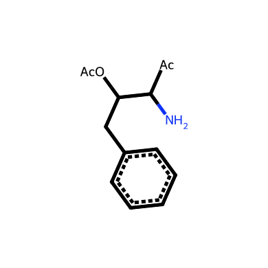 CC(=O)OC(Cc1ccccc1)C(N)C(C)=O